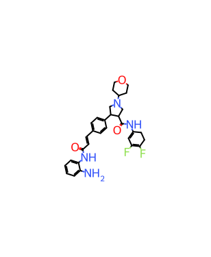 Nc1ccccc1NC(=O)/C=C/c1ccc(C2CN(C3CCOCC3)CC2C(=O)NC2=CC(F)=C(F)CC2)cc1